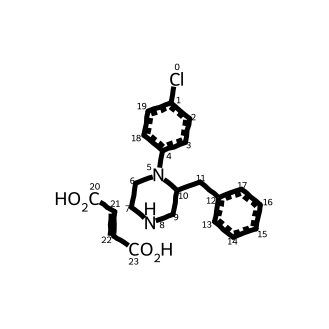 Clc1ccc(N2CCNCC2Cc2ccccc2)cc1.O=C(O)C=CC(=O)O